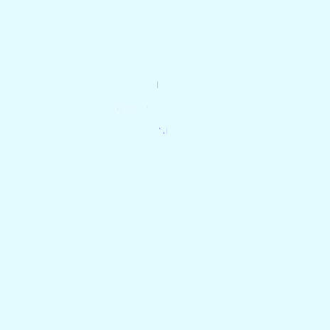 CCC(=O)NCc1ccc(Cl)cc1